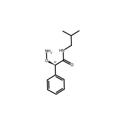 CC(C)CNC(=O)[C@H](ON)c1ccccc1